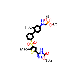 CCOP(=O)(CNc1ccc(-c2cccc(S(=O)(=O)c3cc(C(=N)NC(=O)OC(C)(C)C)sc3SC)c2)c(C)c1)OCC